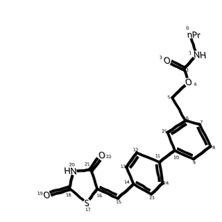 CCCNC(=O)OCc1cccc(-c2ccc(C=C3SC(=O)NC3=O)cc2)c1